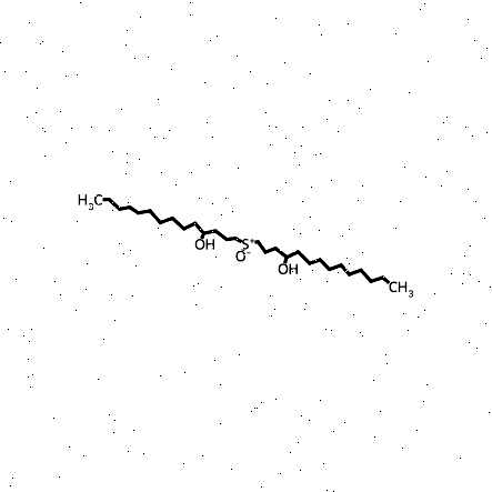 CCCCCCCCCCC(O)CCC[S+]([O-])CCCC(O)CCCCCCCCCC